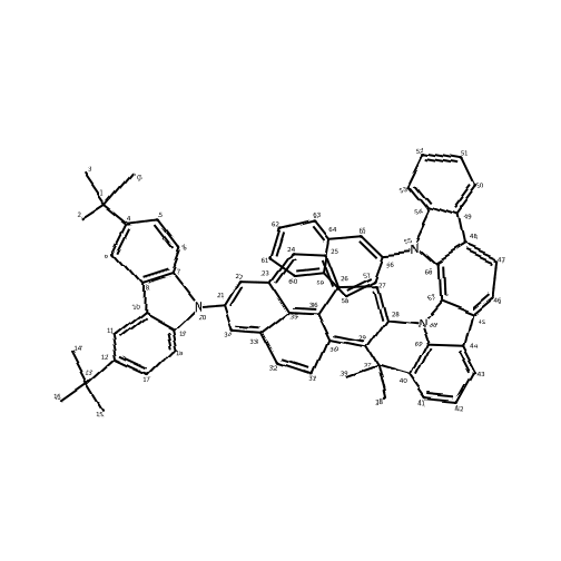 CC(C)(C)c1ccc2c(c1)c1cc(C(C)(C)C)ccc1n2-c1cc2ccc3cc4c(c5ccc(c1)c2c35)C(C)(C)c1cccc2c3ccc5c6ccccc6n(-c6ccc7ccccc7c6)c5c3n-4c12